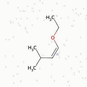 [CH2]CO/C=C\C(C)C